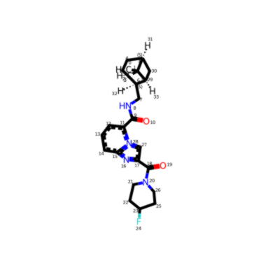 CC1(C)[C@H]2CC[C@H](CNC(=O)c3cccc4nc(C(=O)N5CCC(F)CC5)cn34)[C@@H]1C2